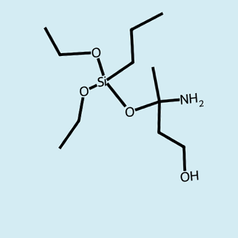 CCC[Si](OCC)(OCC)OC(C)(N)CCO